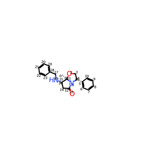 C[C@]12OC[C@H](c3ccccc3)N1C(=O)C[C@H]2NCc1ccccc1